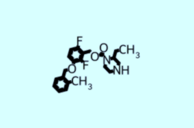 CCC1CNCCN1C(=O)OCc1c(F)ccc(OCc2ccccc2C)c1F